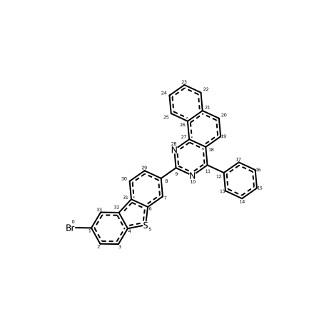 Brc1ccc2sc3cc(-c4nc(-c5ccccc5)c5ccc6ccccc6c5n4)ccc3c2c1